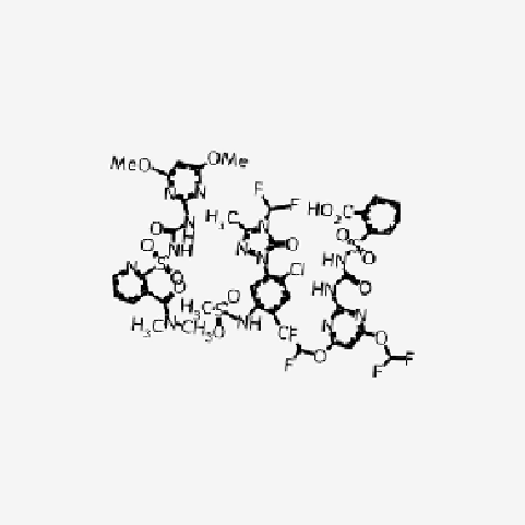 COc1cc(OC)nc(NC(=O)NS(=O)(=O)c2ncccc2C(=O)N(C)C)n1.Cc1nn(-c2cc(NS(C)(=O)=O)c(Cl)cc2Cl)c(=O)n1C(F)F.O=C(Nc1nc(OC(F)F)cc(OC(F)F)n1)NS(=O)(=O)c1ccccc1C(=O)O